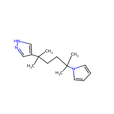 CC(C)(CCC(C)(C)n1cccc1)c1cn[nH]c1